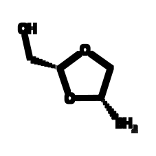 B[C@H]1CO[C@@H](CO)O1